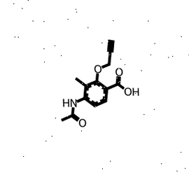 C#CCOc1c(C(=O)O)ccc(NC(C)=O)c1C